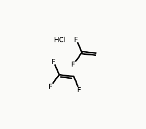 C=C(F)F.Cl.FC=C(F)F